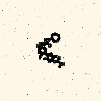 CNc1cc2nc(C)c(-c3cc(NC(=O)NC4CCCCCC4)c(F)cc3F)cc2cn1